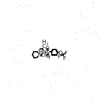 C[C@@H](C[C@H]1CCCCN1C)NS(=O)(=O)c1ccc(OC(F)(F)F)cc1